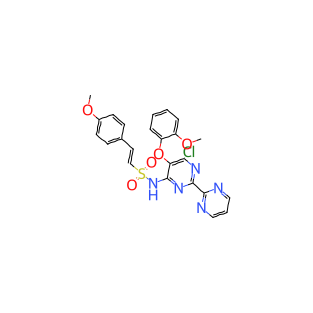 COc1ccc(/C=C/S(=O)(=O)Nc2nc(-c3ncccn3)nc(Cl)c2Oc2ccccc2OC)cc1